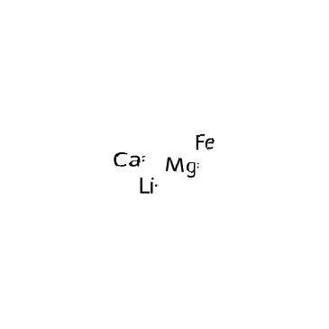 [Ca].[Fe].[Li].[Mg]